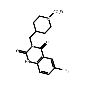 CCOC(=O)N1CCC(Cn2c(=O)[nH]c3ccc(C)cc3c2=O)CC1